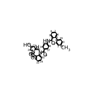 Cc1ccc(-c2ccccc2C(=O)Nc2ccc(C(=O)N3C[C@@H]4C[C@@H](O)CN4S(=O)(=O)c4ccccc43)cc2)cc1